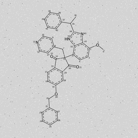 COc1ccc(C2(Cc3ccncc3)C(=O)c3ccc(OCc4ccccc4)cc3C2=O)c2[nH]c(C(C)c3ccccc3)nc12